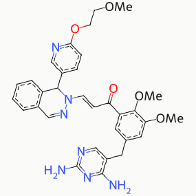 COCCOc1ccc(C2c3ccccc3C=NN2/C=C/C(=O)c2cc(Cc3cnc(N)nc3N)cc(OC)c2OC)cn1